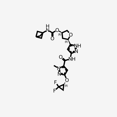 Cn1nc(O[C@@H]2CC2(F)F)cc1C(=O)Nc1cc([C@H]2C[C@@H](OC(=O)NC34CC(C3)C4)CO2)[nH]n1